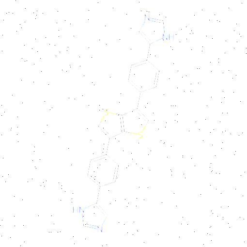 c1ncc(-c2ccc(-c3csc4c(-c5ccc(-c6cnc[nH]6)cc5)csc34)cc2)[nH]1